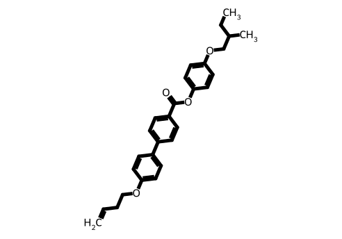 C=CCCOc1ccc(-c2ccc(C(=O)Oc3ccc(OCC(C)CC)cc3)cc2)cc1